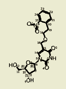 O=c1[nH]c(=O)n([C@H]2C[C@H](O)[C@@H](CO)O2)cc1COCCc1ccccc1[N+](=O)[O-]